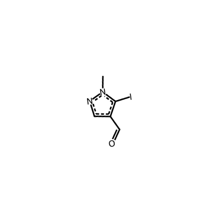 Cn1ncc(C=O)c1I